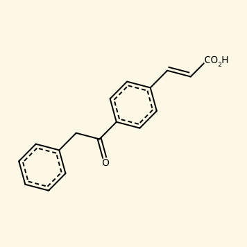 O=C(O)C=Cc1ccc(C(=O)Cc2ccccc2)cc1